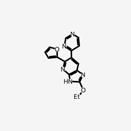 CCOc1nc2cc(-c3ccncn3)c(-c3ccco3)nc2[nH]1